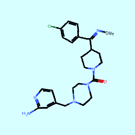 CON=C(c1ccc(Cl)cc1)C1CCN(C(=O)N2CCN(Cc3ccnc(N)c3)CC2)CC1